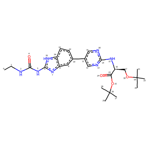 CCNC(=O)Nc1nc2cc(-c3cnc(N[C@@H](COC(C)(C)C)C(=O)OC(C)(C)C)nc3)ccc2[nH]1